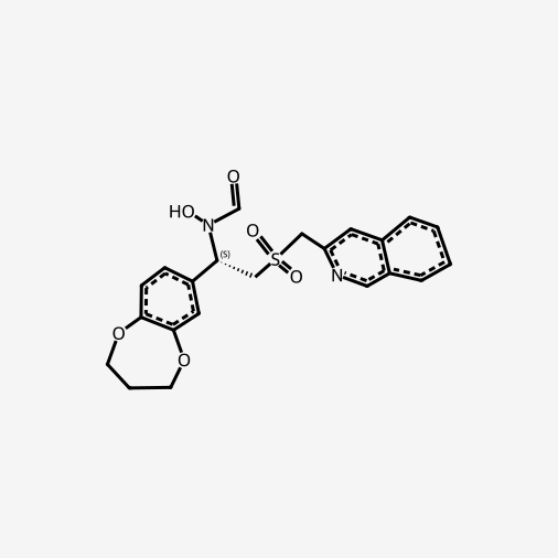 O=CN(O)[C@H](CS(=O)(=O)Cc1cc2ccccc2cn1)c1ccc2c(c1)OCCCO2